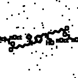 CCCCCCCCC(CCCCCCCC)COC(=O)CCCCCN(CCO)Cc1ccc(CN(CCCCCC(=O)OCC(CCCCCCCC)CCCCCCCC)C2CCC2)cc1